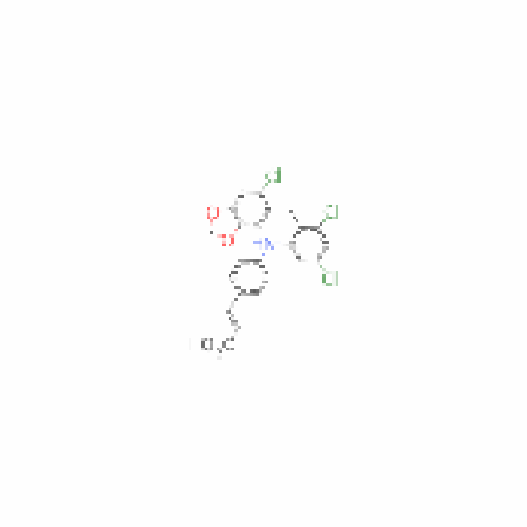 O=C(O)/C=C/c1ccc(Nc2cc(Cl)cc(Cl)c2Cc2cc3c(cc2Cl)OCO3)cc1